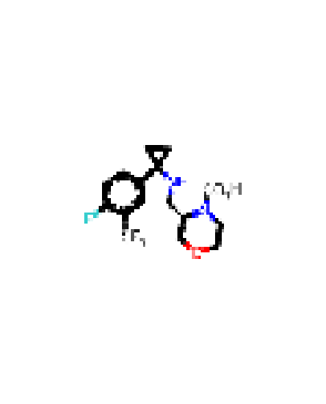 O=C(O)N1CCOC[C@H]1CNC1(c2ccc(F)c(C(F)(F)F)c2)CC1